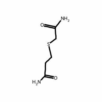 NC(=O)CCSCC(N)=O